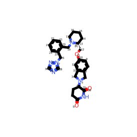 O=C1CCC(N2Cc3ccc(OC[C@H]4CCCCN4Cc4ccccc4Cn4cncn4)cc3C2)C(=O)N1